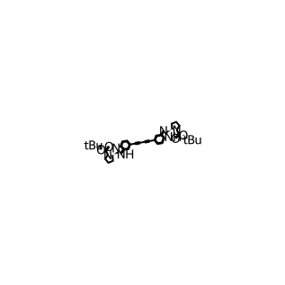 CC(C)(C)OC(=O)N1CCC[C@H]1c1nc2cc(C#CC#Cc3ccc4nc([C@@H]5CCCN5C(=O)OC(C)(C)C)[nH]c4c3)ccc2[nH]1